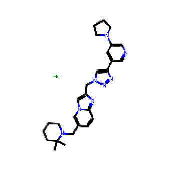 CC1(C)CCCCN1Cc1ccc2nc(Cn3cc(-c4cncc(N5CCCC5)c4)nn3)cn2c1.Cl